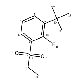 CCS(=O)(=O)c1cccc(C(C)(C)C)c1F